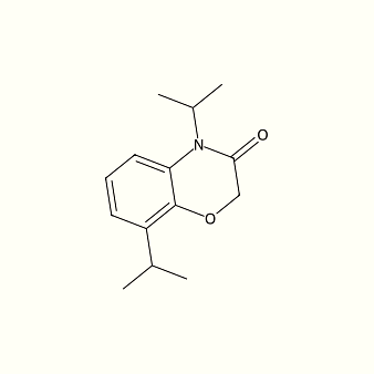 CC(C)c1cccc2c1OCC(=O)N2C(C)C